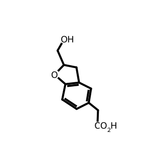 O=C(O)Cc1ccc2c(c1)CC(CO)O2